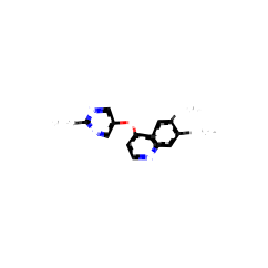 CNc1ncc(Oc2ccnc3cc(OC)c(OC)cc23)cn1